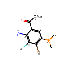 COC(=O)c1cc(P(C)C)c(Br)c(F)c1N